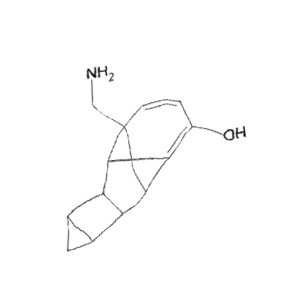 NCC12C=CC(O)=C3C4C5C6CC6C5C1C342